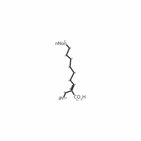 CCCCCCCCCCCCCCCC=C(CC(C)C)C(=O)O